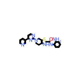 Nc1ccccc1NC(=O)c1nc2c(s1)CN(c1nccc(-c3cccnc3)n1)CC2